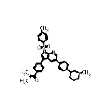 Cc1ccc(S(=O)(=O)n2cc(-c3ccc(C(=O)N(C)C)cc3)c3cc(-c4ccc(C5CCCN(C)C5)cc4)cnc32)cc1